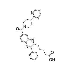 O=C(O)CCCCc1nc2cc(C(=O)N3CCC(c4ncccn4)CC3)ccc2nc1-c1ccccc1